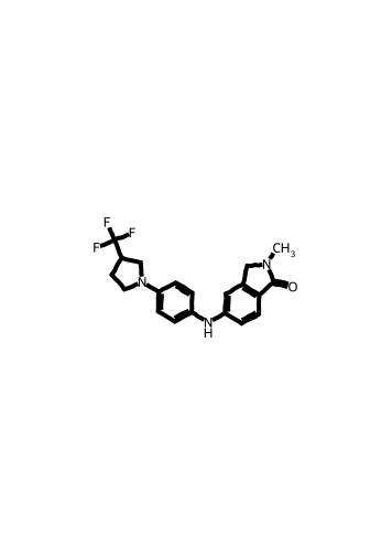 CN1Cc2cc(Nc3ccc(N4CCC(C(F)(F)F)C4)cc3)ccc2C1=O